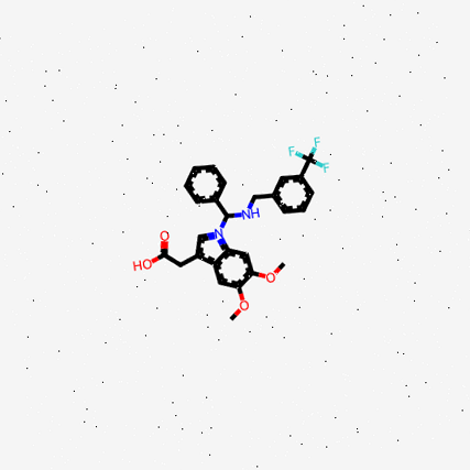 COc1cc2c(CC(=O)O)cn(C(NCc3cccc(C(F)(F)F)c3)c3ccccc3)c2cc1OC